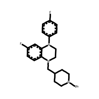 CC(C)N1CCC(CN2CCN(c3ccc(F)cc3)c3cc(F)ccc32)CC1